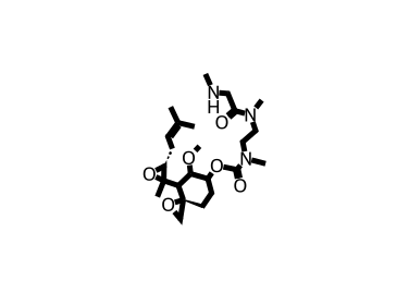 CNCC(=O)N(C)CCN(C)C(=O)OC1CC[C@]2(CO2)C(C2(C)O[C@@H]2CC=C(C)C)C1OC